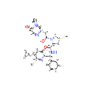 CCn1cc(CC(=O)N2CC(F)CC2C(=O)NC(c2ccccc2)c2ccc(C3CC3)c(F)n2)ncc1=O